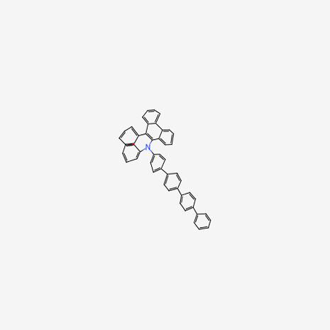 c1ccc(-c2ccc(-c3ccc(-c4ccc(N(c5ccccc5)c5c(-c6ccccc6)c6ccccc6c6ccccc56)cc4)cc3)cc2)cc1